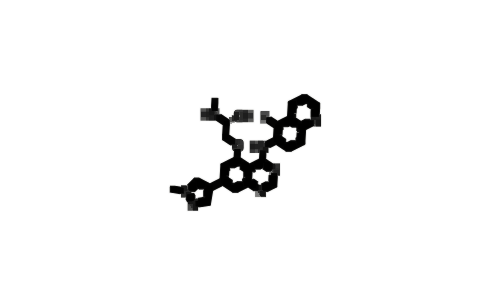 CN[C@H](O)COc1cc(-c2cnn(C)c2)cc2ncnc(Nc3ccc4ncccc4c3F)c12